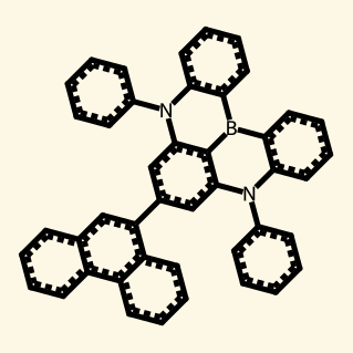 c1ccc(N2c3ccccc3B3c4ccccc4N(c4ccccc4)c4cc(-c5cc6ccccc6c6ccccc56)cc2c43)cc1